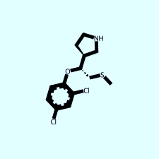 CSC[C@H](Oc1ccc(Cl)cc1Cl)[C@H]1CCNC1